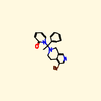 CC(c1ccccc1)(N1CCc2c(Br)cncc2C1)n1ccccc1=O